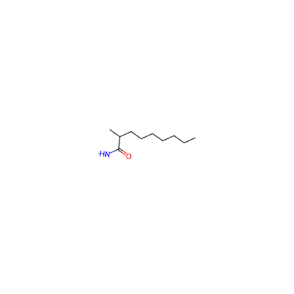 CCCCCCCC(C)C([NH])=O